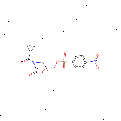 O=C1O[C@@H](COS(=O)(=O)c2ccc([N+](=O)[O-])cc2)CN1C(=O)C1CC1